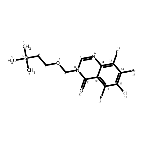 C[Si](C)(C)CCOCn1cnc2c(F)c(Br)c(Cl)c(F)c2c1=O